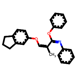 CC(=COc1ccc2c(c1)CCC2)/C(=N\c1ccccc1)Oc1ccccc1